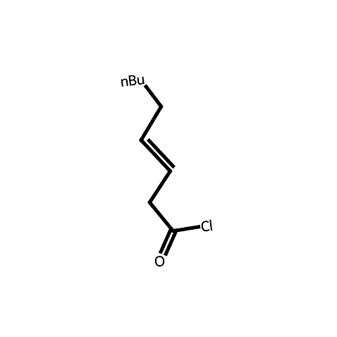 CCCCCC=CCC(=O)Cl